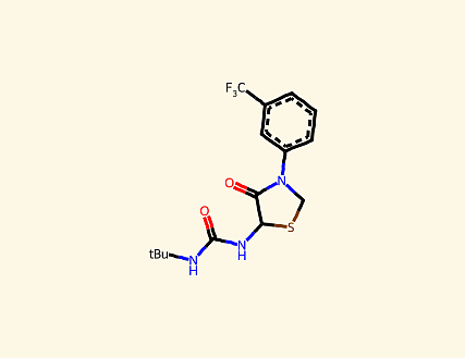 CC(C)(C)NC(=O)NC1SCN(c2cccc(C(F)(F)F)c2)C1=O